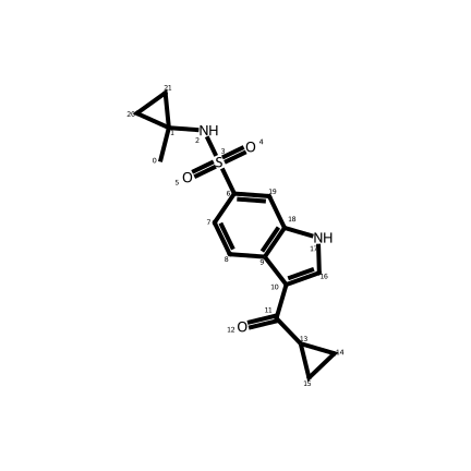 CC1(NS(=O)(=O)c2ccc3c(C(=O)C4CC4)c[nH]c3c2)CC1